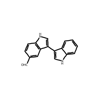 O=Cc1ccc2[nH]cc(-c3c[nH]c4ccccc34)c2c1